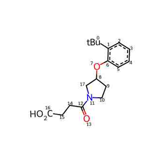 CC(C)(C)c1ccccc1OC1CCN(C(=O)CCC(=O)O)C1